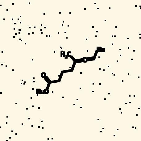 CCC(C)C=C=C(C)CCCC(=O)OCC(C)C